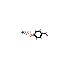 O=C(O)Oc1ccc(CI)cc1